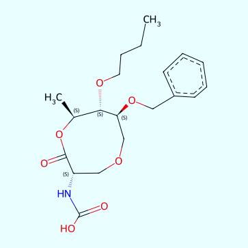 CCCCO[C@H]1[C@H](C)OC(=O)[C@@H](NC(=O)O)COC[C@@H]1OCc1ccccc1